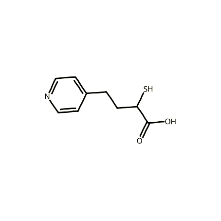 O=C(O)C(S)CCc1ccncc1